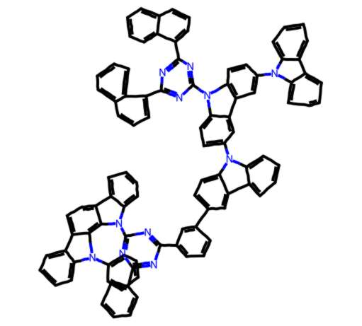 c1ccc(-c2nc(-c3cccc(-c4ccc5c(c4)c4ccccc4n5-c4ccc5c(c4)c4cc(-n6c7ccccc7c7ccccc76)ccc4n5-c4nc(-c5cccc6ccccc56)nc(-c5cccc6ccccc56)n4)c3)nc(-n3c4ccccc4c4ccc5c6ccccc6n(-c6ccccc6)c5c43)n2)cc1